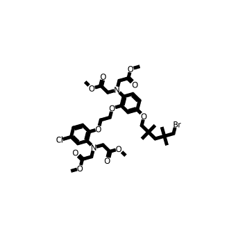 COC(=O)CN(CC(=O)OC)c1ccc(OCC(C)(C)CC(C)(C)CBr)cc1OCCOc1ccc(Cl)cc1N(CC(=O)OC)CC(=O)OC